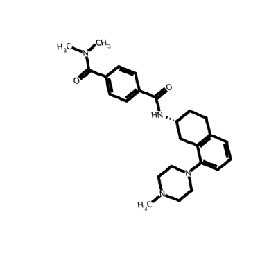 CN1CCN(c2cccc3c2C[C@H](NC(=O)c2ccc(C(=O)N(C)C)cc2)CC3)CC1